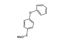 COSc1ccc(Oc2ccccc2)cc1